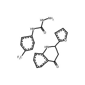 NNC(=O)Nc1ccc(C(F)(F)F)cc1.O=C1CC(c2ccco2)Nc2ccccc21